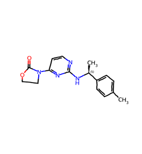 Cc1ccc([C@H](C)Nc2nccc(N3CCOC3=O)n2)cc1